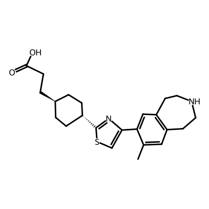 Cc1cc2c(cc1-c1csc([C@H]3CC[C@H](CCC(=O)O)CC3)n1)CCNCC2